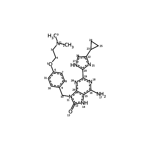 CN(C)CCOc1ccc(Cn2c(=O)[nH]c3c(N)nc(-c4nc(C5CC5)c[nH]4)nc32)cc1